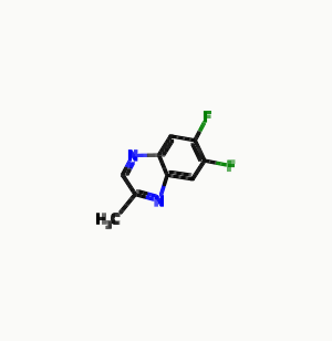 Cc1cnc2cc(F)c(F)cc2n1